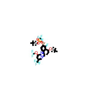 CC(C)(C)[Si](C)(C)OC1=CC[C@@]2(CN3C=C(C(F)(F)F)C=C(OC(F)F)C3=N2)c2ccc(Br)c(F)c21.CC(C)(C)[Si](C)(C)OS(=O)(=O)C(F)(F)F